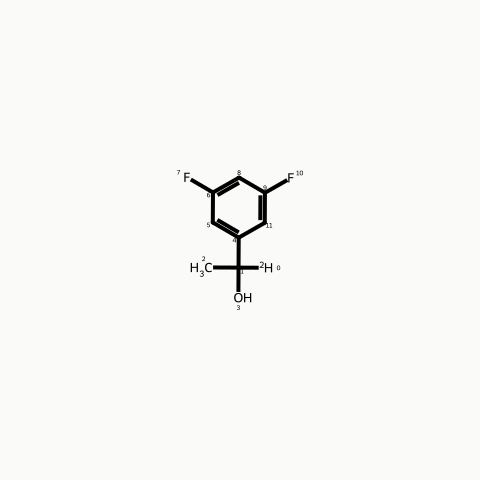 [2H]C(C)(O)c1cc(F)cc(F)c1